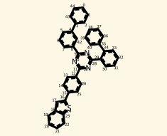 c1ccc(-c2cccc(-c3nc(-c4ccc(-c5cc6ccccc6s5)cc4)nc(-c4ccccc4-c4ccccc4)n3)c2)cc1